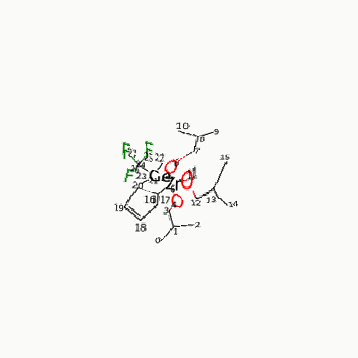 CC(C)C[O][Zr]([O]CC(C)C)([O]CC(C)C)([C]1=CC=CC1)[Ge]([CH3])([CH3])[C](F)(F)F